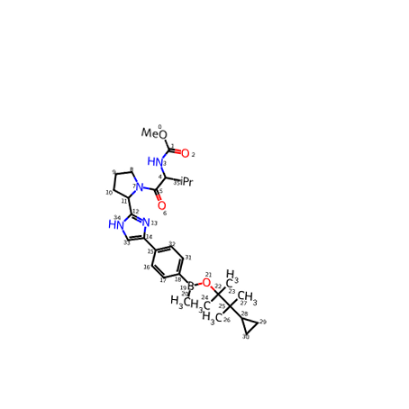 COC(=O)NC(C(=O)N1CCCC1c1nc(-c2ccc(B(C)OC(C)(C)C(C)(C)C3CC3)cc2)c[nH]1)C(C)C